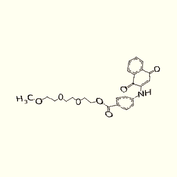 COCCOCCOCCOC(=O)c1ccc(NC2=CC(=O)c3ccccc3C2=O)cc1